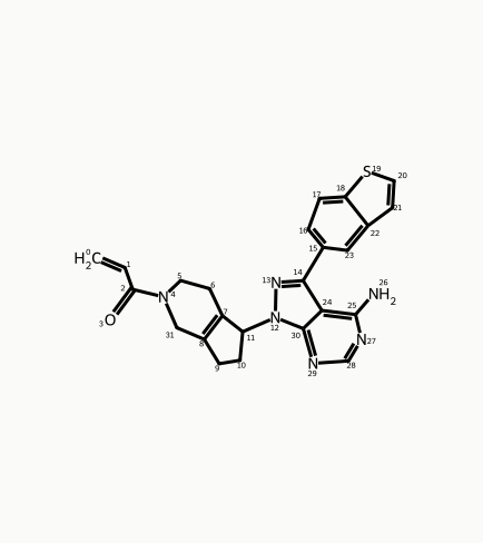 C=CC(=O)N1CCC2=C(CCC2n2nc(-c3ccc4sccc4c3)c3c(N)ncnc32)C1